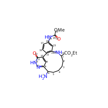 CCOC(=O)C1CCCCC(N)c2cc(c(=O)[nH]n2)-c2ccc(NC(=O)OC)cc2N1